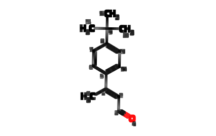 CC(=CC=O)c1ccc(C(C)(C)C)cc1